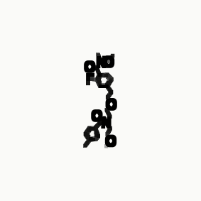 COCCN(CCOCCc1ccc(C(=O)N(C)OC)c(F)c1)C(=O)c1ccc(C)cc1